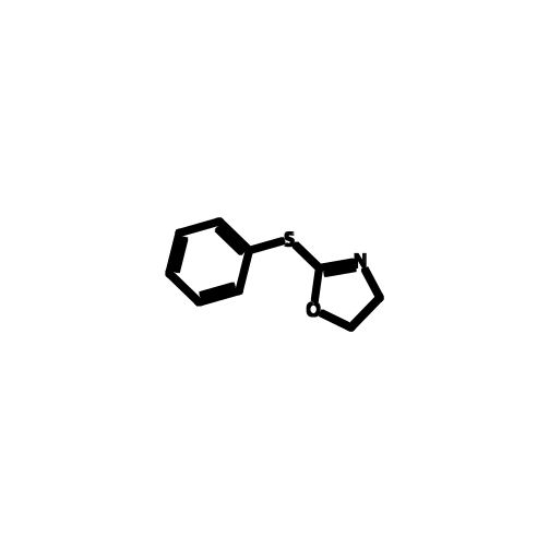 c1ccc(SC2=NCCO2)cc1